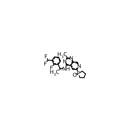 Cc1nc(N[C@H](C)c2cccc(C(F)F)c2F)c2cc(P3(=O)CCCC3)ncc2n1